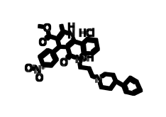 COC(=O)C1=C(C)NC(c2ccccc2)=C(C(=O)N(O)CCCN2CCC(c3ccccc3)CC2)C1c1ccc([N+](=O)[O-])cc1.Cl